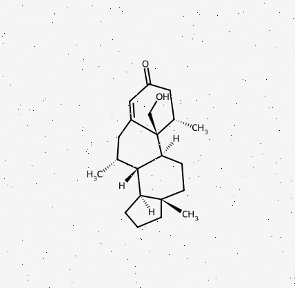 C[C@@H]1CC2=CC(=O)C[C@H](C)[C@]2(CO)[C@H]2CC[C@]3(C)CCC[C@H]3[C@H]12